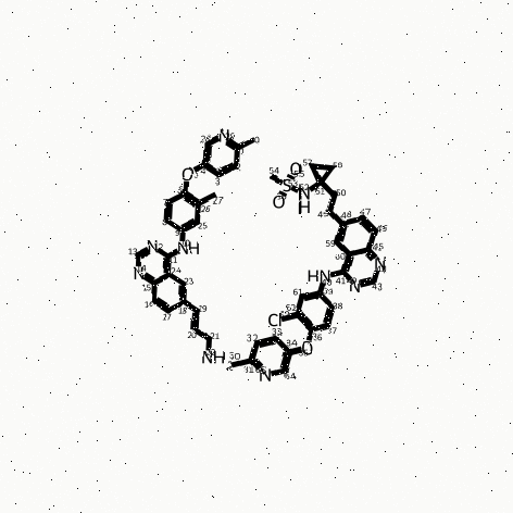 Cc1ccc(Oc2ccc(Nc3ncnc4ccc(C=CCN)cc34)cc2C)cn1.Cc1ccc(Oc2ccc(Nc3ncnc4ccc(CCC5(NS(C)(=O)=O)CC5)cc34)cc2Cl)cn1